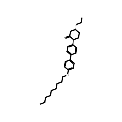 CCCCCCCCCOc1ccc(-c2ccc([C@@H]3CC[C@@H](CCC)CC3=O)cc2)cc1